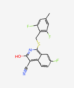 Cc1cc(F)c(CSc2nc(O)c(C#N)c3ccc(F)cc23)c(F)c1